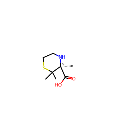 CC1(C)SCCN[C@@]1(C)C(=O)O